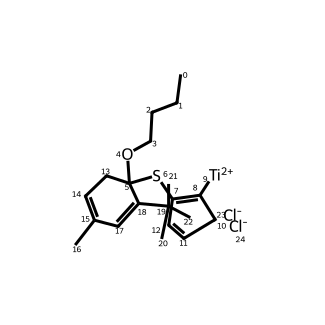 CCCCOC1(SC2=[C]([Ti+2])CC=C2)CC=C(C)C=C1C(C)(C)C.[Cl-].[Cl-]